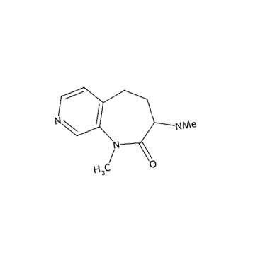 CNC1CCc2ccncc2N(C)C1=O